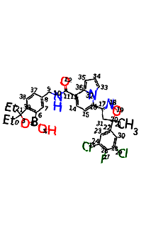 CCC1(CC)OB(O)c2cc(CNC(=O)c3ccc(C4=NOC(C)(c5cc(Cl)c(F)c(Cl)c5)C4)n4cccc34)ccc21